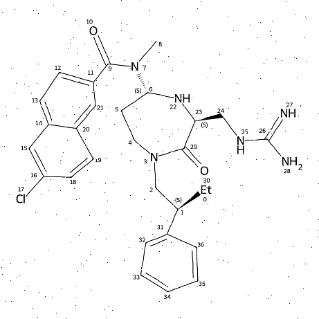 CC[C@H](CN1CC[C@H](N(C)C(=O)c2ccc3cc(Cl)ccc3c2)N[C@@H](CNC(=N)N)C1=O)c1ccccc1